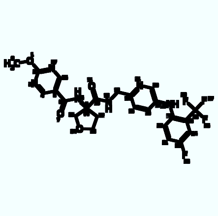 COc1ncc(C(=O)N[C@@]2(C(=O)NCc3ccc(Nc4ccc(F)cc4C(F)(F)F)cn3)CCOC2)cn1